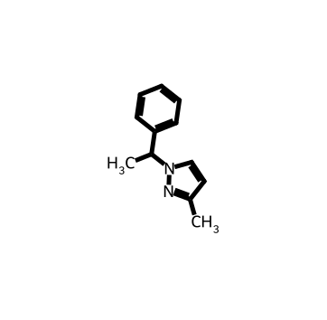 Cc1ccn(C(C)c2ccccc2)n1